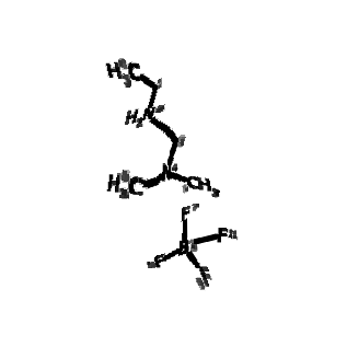 CC[NH2+]CN(C)C.F[B-](F)(F)F